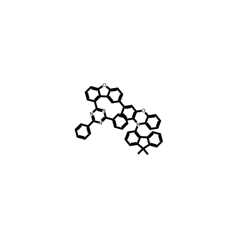 CC1(C)c2ccccc2-c2c(N3c4ccccc4Oc4cc(-c5ccc6oc7cccc(-c8nc(-c9ccccc9)nc(-c9ccccc9)n8)c7c6c5)ccc43)cccc21